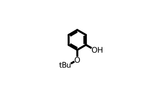 CC(C)(C)Oc1ccccc1O